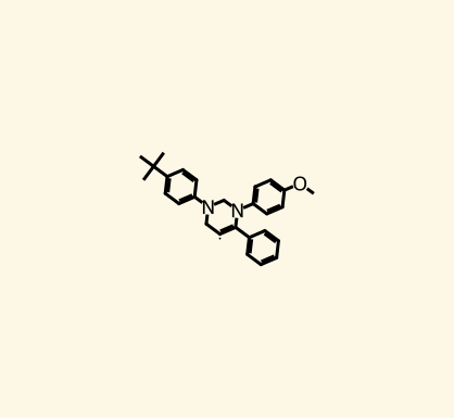 COc1ccc(N2CN(c3ccc(C(C)(C)C)cc3)C[C]=C2c2ccccc2)cc1